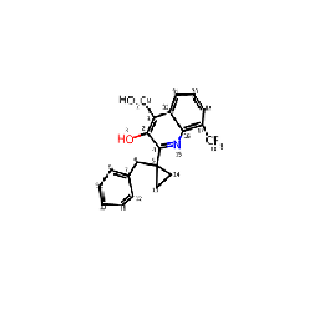 O=C(O)c1c(O)c(C2(Cc3ccccc3)CC2)nc2c(C(F)(F)F)cccc12